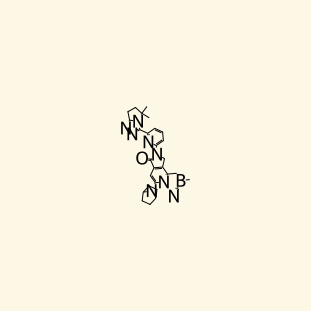 CB(C#N)Cc1nc(N2C3CCC2CC3)cc2c1CN(c1cccc(-c3nnc4n3C(C)(C)CC4)n1)C2=O